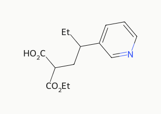 CCOC(=O)C(CC(CC)c1cccnc1)C(=O)O